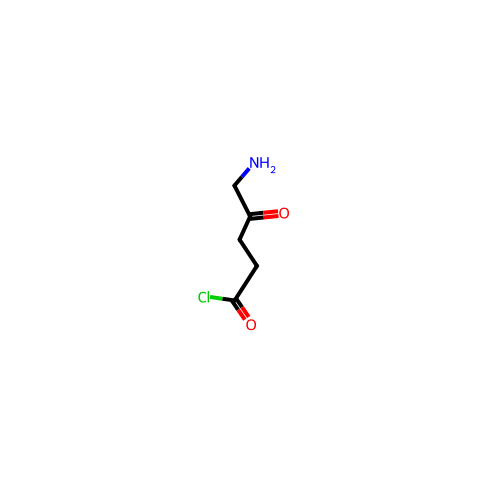 NCC(=O)CCC(=O)Cl